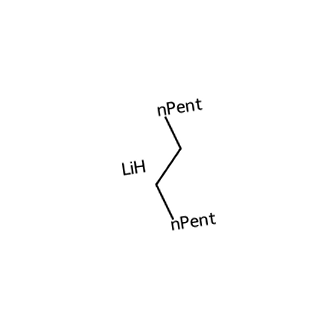 CCCCCCCCCCCC.[LiH]